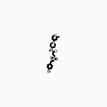 Cc1cc(N2CCC(N(C)C(=O)CCS(=O)(=O)C=Cc3ccc(Br)cc3)CC2)ccn1